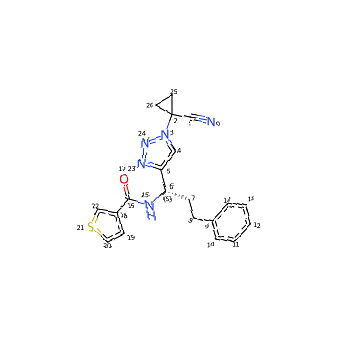 N#CC1(n2cc([C@H](CCc3ccccc3)NC(=O)c3ccsc3)nn2)CC1